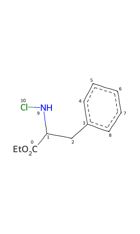 CCOC(=O)C(Cc1ccccc1)NCl